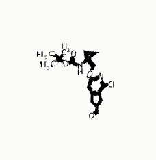 CC(C)(C)OC(=O)NC1(COc2cc3c(c(Cl)n2)CC(C=O)C3)CC1